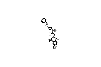 O=C(CN1CC2(CC2)c2cc(Br)ccc2C1=O)N[C@H]1C[C@H](OCc2ccccc2)C1